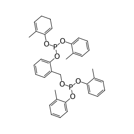 CC1=CCCC=C1OP(Oc1ccccc1C)Oc1ccccc1COP(Oc1ccccc1C)Oc1ccccc1C